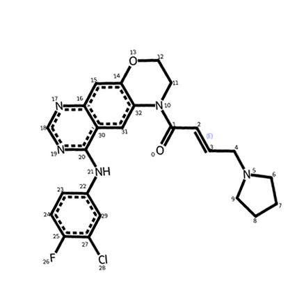 O=C(/C=C/CN1CCCC1)N1CCOc2cc3ncnc(Nc4ccc(F)c(Cl)c4)c3cc21